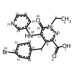 CCn1nc(C(=O)O)c(Cc2ccc(Br)cc2)c(Nc2cccnc2)c1=O